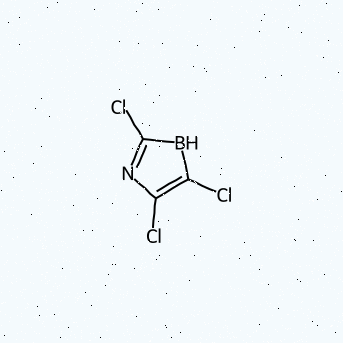 ClC1=NC(Cl)=C(Cl)B1